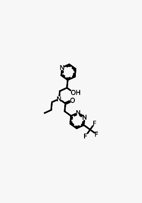 CCCN(CC(O)c1cccnc1)C(=O)Cc1ccc(C(F)(F)F)nn1